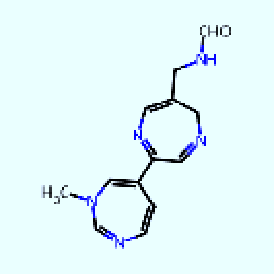 CN1C=NC=CC(C2=NC=C(CNC=O)CN=C2)=C1